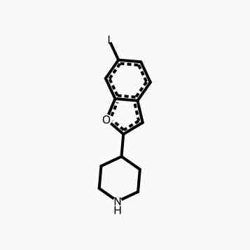 Ic1ccc2cc(C3CCNCC3)oc2c1